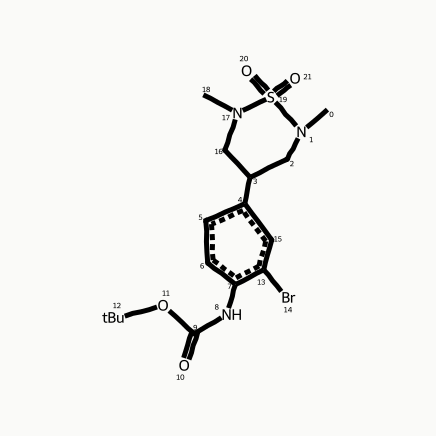 CN1CC(c2ccc(NC(=O)OC(C)(C)C)c(Br)c2)CN(C)S1(=O)=O